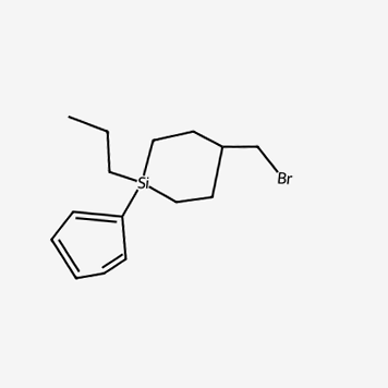 CCC[Si]1(c2ccccc2)CCC(CBr)CC1